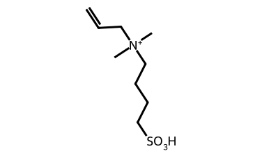 C=CC[N+](C)(C)CCCCS(=O)(=O)O